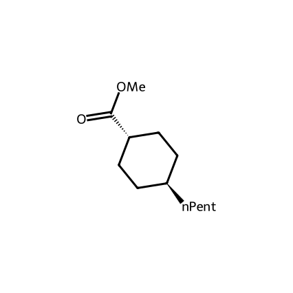 CCCCC[C@H]1CC[C@H](C(=O)OC)CC1